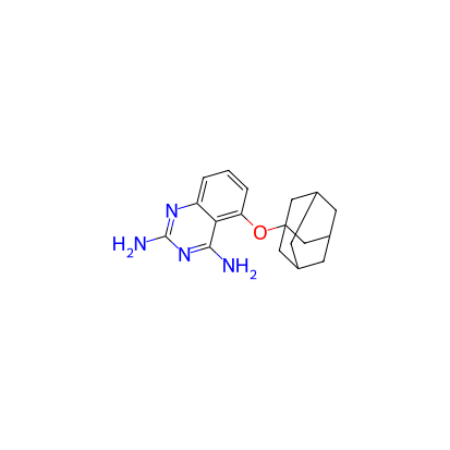 Nc1nc(N)c2c(OC34CC5CC(CC(C5)C3)C4)cccc2n1